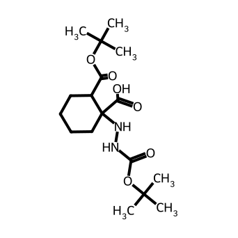 CC(C)(C)OC(=O)NNC1(C(=O)O)CCCCC1C(=O)OC(C)(C)C